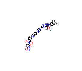 CC(C)(C(=O)Nc1ccc(C#N)c(C(F)(F)F)c1)n1cc(N2CCN(C3CC4CN(c5ccc6c(c5)C(=O)N(C5CCC(=O)NC5=O)C6=O)CC4C3)CC2)cn1